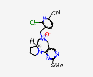 CSc1ncc2c(n1)N1CCC[C@H]1C[N+]([O-])(Cc1ccc(C#N)nc1Cl)C2